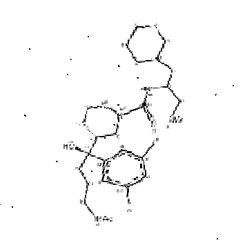 CNCC(CC1CCCCC1)NC(=O)N1CCC[C@@H]([C@@](O)(CCCNC(C)=O)c2cc(F)cc(F)c2)C1